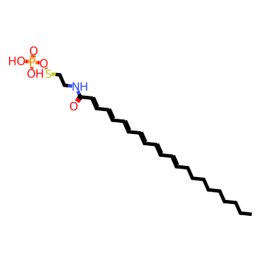 CCCCCCCCCC=CC=CC=CC=CC=CC=CC(=O)NCCSOP(=O)(O)O